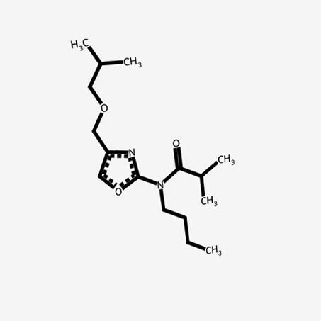 CCCCN(C(=O)C(C)C)c1nc(COCC(C)C)co1